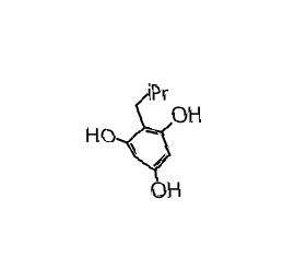 [CH2]C(C)Cc1c(O)cc(O)cc1O